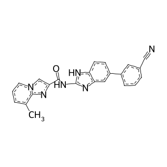 Cc1cccn2cc(C(=O)Nc3nc4cc(-c5cccc(C#N)c5)ccc4[nH]3)nc12